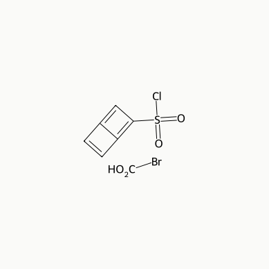 O=C(O)Br.O=S(=O)(Cl)c1cc2ccc1-2